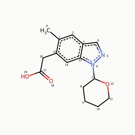 Cc1cc2cnn(C3CCCCO3)c2cc1CC(=O)O